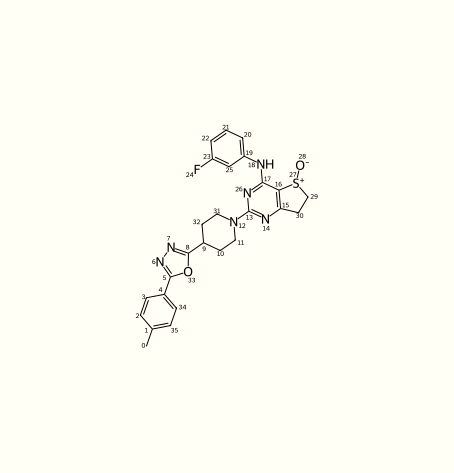 Cc1ccc(-c2nnc(C3CCN(c4nc5c(c(Nc6cccc(F)c6)n4)[S+]([O-])CC5)CC3)o2)cc1